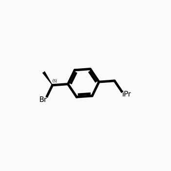 CC(C)Cc1ccc([C@H](C)Br)cc1